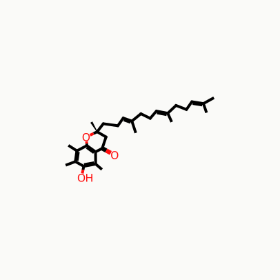 CC(C)=CCC/C(C)=C/CC/C(C)=C/CC[C@]1(C)CC(=O)c2c(C)c(O)c(C)c(C)c2O1